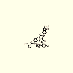 O=C(O)c1cc2cc(NC(=O)[C@H](Cc3ccc(NC(=O)N4CCC[C@H]4CO)cc3)N3CCN(c4cc(Cl)ccc4-n4cnnn4)C(=O)C3=O)ccc2[nH]1